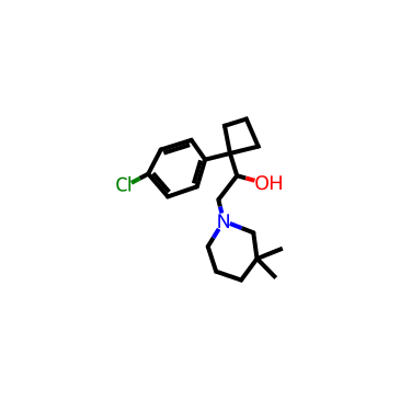 CC1(C)CCCN(CC(O)C2(c3ccc(Cl)cc3)CCC2)C1